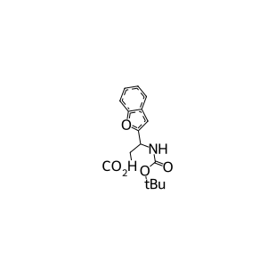 CC(C)(C)OC(=O)NC(CC(=O)O)c1cc2ccccc2o1